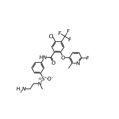 Cc1nc(F)ccc1Oc1cc(C(F)(F)F)c(Cl)cc1C(=O)Nc1cccc([S@@+]([O-])N(C)CCN)c1